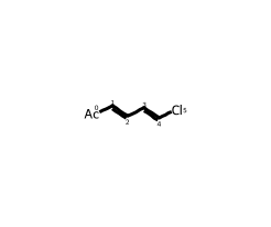 CC(=O)C=CC=CCl